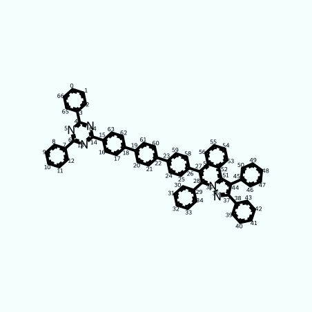 c1ccc(-c2nc(-c3ccccc3)nc(-c3ccc(-c4ccc(-c5ccc(-c6c(-c7ccccc7)n7nc(-c8ccccc8)c(-c8ccccc8)c7c7ccccc67)cc5)cc4)cc3)n2)cc1